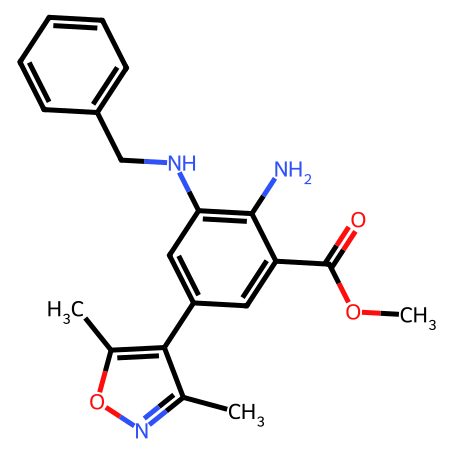 COC(=O)c1cc(-c2c(C)noc2C)cc(NCc2ccccc2)c1N